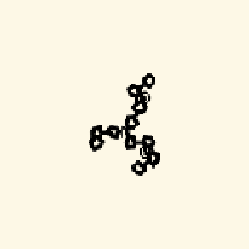 c1ccc(-c2cccc3c2oc2ccc(-c4ccc(N(c5ccc(-c6cccc7ccccc67)cc5)c5cccc(-c6cccc7c6oc6c(-c8ccccc8)cccc67)c5)cc4)cc23)cc1